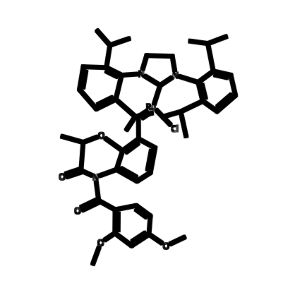 COc1ccc(C(=O)N2C(=O)C(C)Oc3c([CH]=[Ru]([Cl])[CH]4N(c5c(C(C)C)cccc5C(C)C)CCN4c4c(C(C)C)cccc4C(C)C)cccc32)c(OC)c1